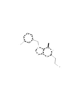 NCCc1nc2ncn(Cc3cccc(Cl)c3)c2c(=O)[nH]1